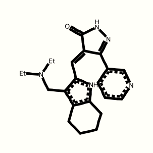 CCN(CC)Cc1c(/C=C2/C(=O)NN=C2c2cccnc2)[nH]c2c1CCCC2